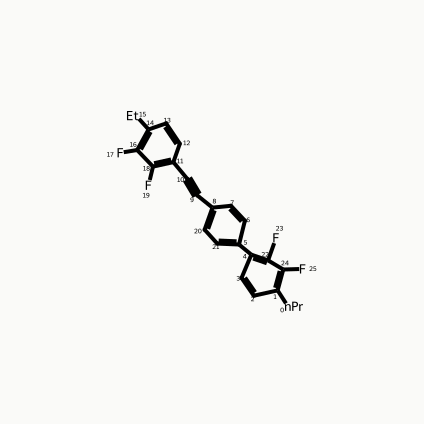 CCCc1ccc(-c2ccc(C#Cc3ccc(CC)c(F)c3F)cc2)c(F)c1F